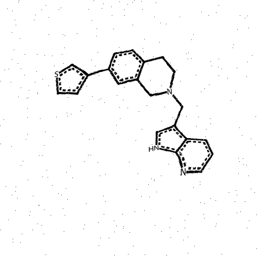 c1cnc2[nH]cc(CN3CCc4ccc(-c5ccsc5)cc4C3)c2c1